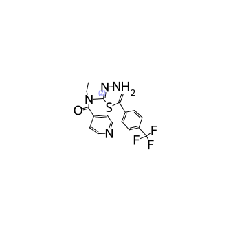 C=C(S/C(=N\N)N(CC)C(=O)c1ccncc1)c1ccc(C(F)(F)F)cc1